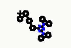 CC1(C)c2ccccc2-c2c(-c3ccc(-c4cccc(-c5nc(-n6c7ccccc7c7ccccc76)nc(-n6c7ccccc7c7ccccc76)n5)c4)cc3)cccc21